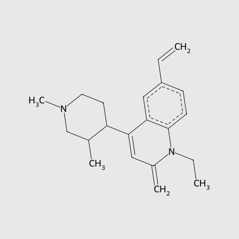 C=Cc1ccc2c(c1)C(C1CCN(C)CC1C)=CC(=C)N2CC